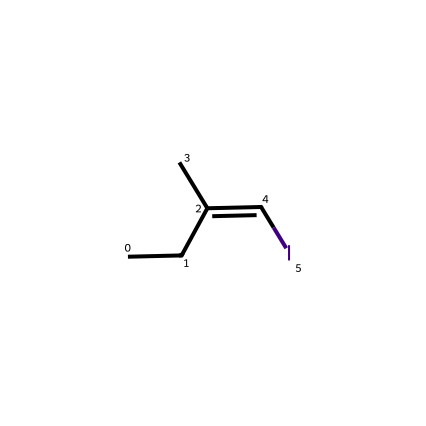 CC/C(C)=C\I